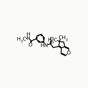 CNC(=O)c1cccc(NC(=O)CC2=C3C=COC=C3CC2(C)C)c1